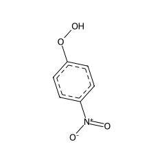 O=[N+]([O-])c1ccc(OO)cc1